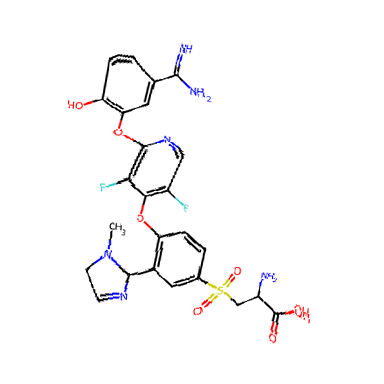 CN1CC=NC1c1cc(S(=O)(=O)CC(N)C(=O)O)ccc1Oc1c(F)cnc(Oc2cc(C(=N)N)ccc2O)c1F